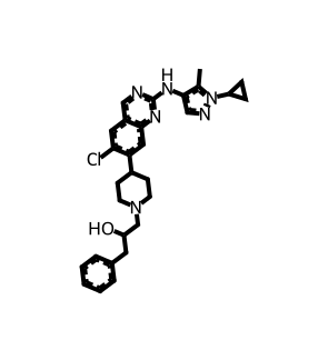 Cc1c(Nc2ncc3cc(Cl)c(C4CCN(CC(O)Cc5ccccc5)CC4)cc3n2)cnn1C1CC1